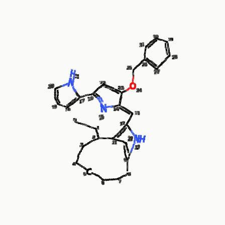 CCC1CCCCCCc2cc1c(C=C1N=C(c3ccc[nH]3)C=C1OCc1ccccc1)[nH]2